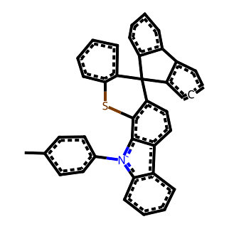 Cc1ccc(-n2c3ccccc3c3ccc4c(c32)Sc2ccccc2C42c3ccccc3-c3ccccc32)cc1